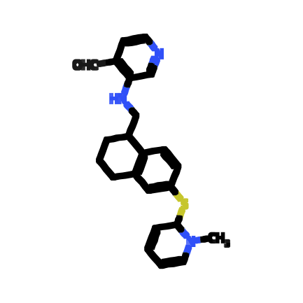 CN1C=CC=CC1Sc1ccc2c(c1)CCCC2CNc1cnccc1C=O